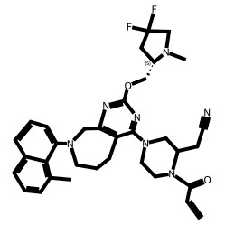 C=CC(=O)N1CCN(c2nc(OC[C@@H]3CC(F)(F)CN3C)nc3c2CCCN(c2cccc4cccc(C)c24)C3)CC1CC#N